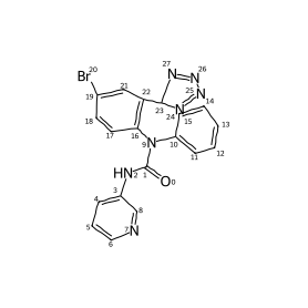 O=C(Nc1cccnc1)N(c1ccccc1)c1ccc(Br)cc1C1N=NN=N1